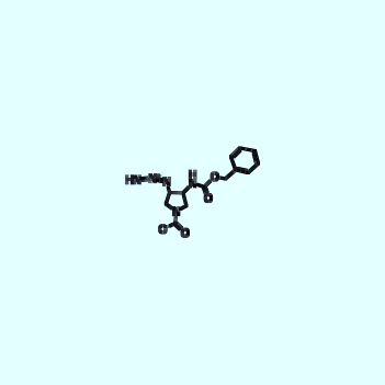 N=[N+]=NC1CN(C(=O)[O-])CC1NC(=O)OCc1ccccc1